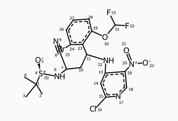 CC(C)(C)[S@@+]([O-])NC(C#N)CC(Nc1cc(Cl)ncc1[N+](=O)[O-])c1c(Br)cccc1OC(F)F